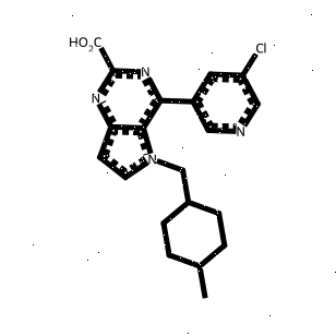 CC1CCC(Cn2ccc3nc(C(=O)O)nc(-c4cncc(Cl)c4)c32)CC1